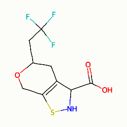 O=C(O)C1NSC2=C1CC(CC(F)(F)F)OC2